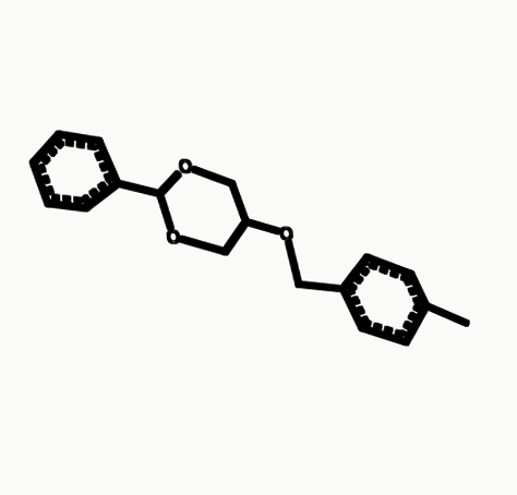 Cc1ccc(COC2COC(c3ccccc3)OC2)cc1